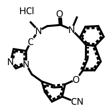 CN1CC(=O)N(C)c2cccc3ccc(cc23)Oc2cc(ccc2C#N)Cn2cncc2C1.Cl